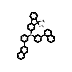 CC1(C)c2ccccc2-c2ccc(N(c3cccc(-c4ccc5ccccc5c4)c3)c3cccc(-c4cccc5ccccc45)c3)cc21